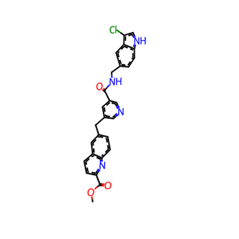 COC(=O)c1ccc2cc(Cc3cncc(C(=O)NCc4ccc5[nH]cc(Cl)c5c4)c3)ccc2n1